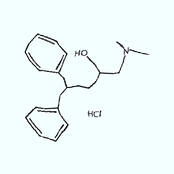 CN(C)CC(O)CC(c1ccccc1)c1ccccc1.Cl